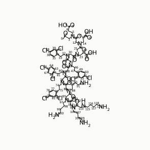 CC(=O)CN(CCC(=O)O)C(=O)CN(CCC(=O)O)C(=O)CN(CCC(=O)O)C(=O)CN(CCc1ccc(Cl)cc1Cl)C(=O)CN(CCc1ccc(Cl)cc1Cl)C(=O)CN(CCc1ccc(Cl)cc1Cl)C(=O)CN(CCc1ccc(Cl)cc1Cl)C(=O)CN(CCCCN)C(=O)CN(CCCCN)C(=O)CN(CCCCN)C(=O)CNCCCCN